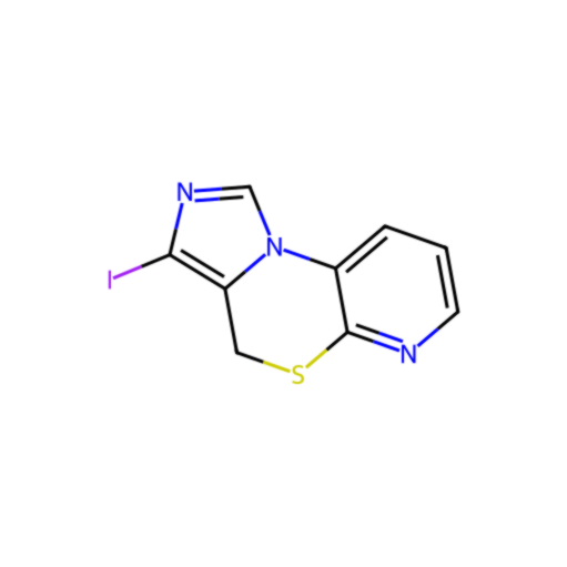 Ic1ncn2c1CSc1ncccc1-2